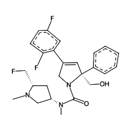 CN1C[C@@H](N(C)C(=O)N2CC(c3cc(F)ccc3F)=C[C@@]2(CO)c2ccccc2)C[C@H]1CF